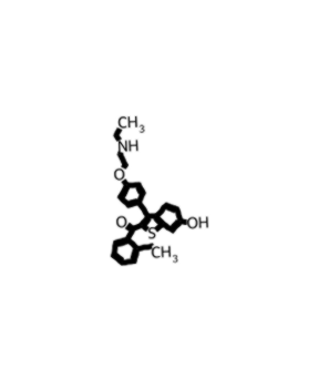 CCNCCOc1ccc(-c2c(C(=O)c3ccccc3CC)sc3cc(O)ccc23)cc1